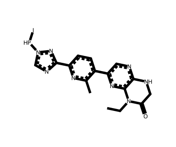 CCN1C(=O)CNc2ncc(-c3ccc(-c4ncn(PI)n4)nc3C)nc21